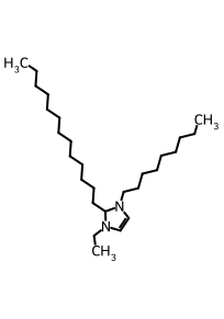 CCCCCCCCCCCCCC1N(CC)C=CN1CCCCCCCCC